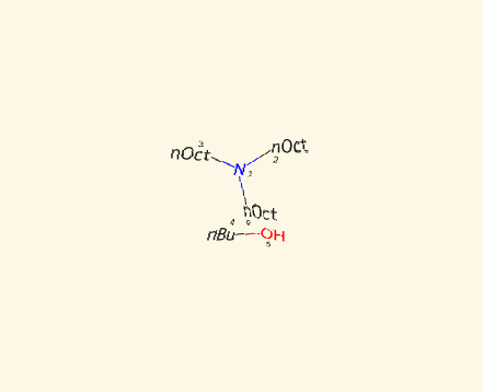 CCCCCCCCN(CCCCCCCC)CCCCCCCC.CCCCO